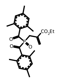 C=C(CP(=O)(C(=O)c1c(C)cc(C)cc1C)C(=O)c1c(C)cc(C)cc1C)C(=O)OCC